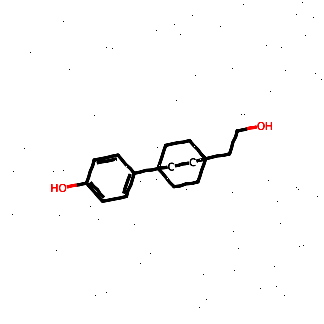 OCCC12CCC(c3ccc(O)cc3)(CC1)CC2